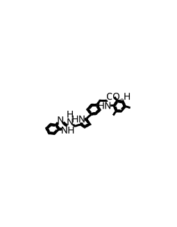 Cc1cc(C)c(NC(Cc2ccc(-c3ccc(CNc4nc5ccccc5[nH]4)[nH]3)cc2)C(=O)O)c(C)c1